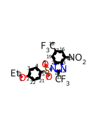 CCOc1ccc(S(=O)(=O)n2c(C(F)(F)F)nc3c([N+](=O)[O-])cc(C(F)(F)F)cc32)cc1